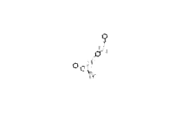 C[C@H](NC(=O)[C@H]1C[C@@H](c2ccccc2)CCN1CCNS(C)(=O)=O)C(=O)NCc1ccc(C(=N)NC(=O)OCc2ccccc2)cc1